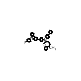 C=C1/C=C\C=C(\N(c2ccc(-c3ccccc3)cc2)c2ccc(-c3ccc4c(c3)c3ccccc3n4-c3ccc(F)cc3)cc2)COc2ccccc21